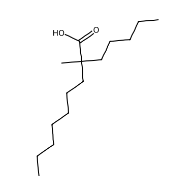 CCCCCCCC(C)(CCCCC)C(=O)O